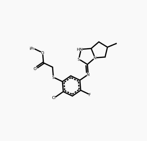 CC1CC2NS/C(=N\c3cc(SCC(=O)OC(C)C)c(Cl)cc3F)N2C1